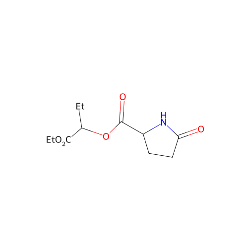 CCOC(=O)C(CC)OC(=O)C1CCC(=O)N1